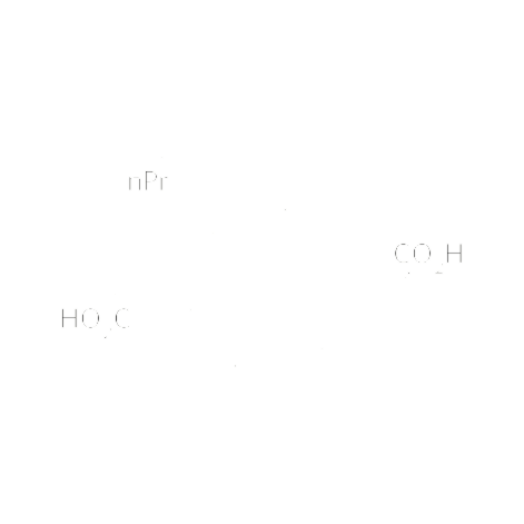 CCCC1CC(C(=O)O)CCC1C(=O)O